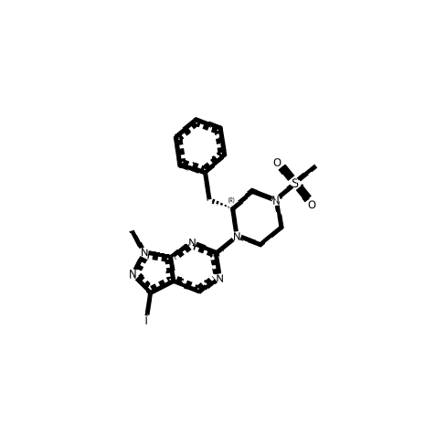 Cn1nc(I)c2cnc(N3CCN(S(C)(=O)=O)C[C@H]3Cc3ccccc3)nc21